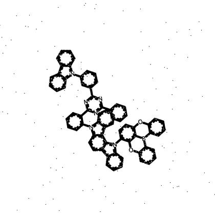 c1ccc(-c2nc(-c3cccc(-n4c5ccccc5c5ccccc54)c3)nc(-c3ccccc3-n3c4ccccc4c4c3ccc3c5ccccc5n(-c5ccc6c7c5Oc5ccccc5B7c5ccccc5O6)c34)n2)cc1